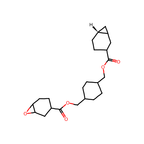 O=C(OCC1CCC(COC(=O)C2CC[C@@H]3CC3C2)CC1)C1CCC2OC2C1